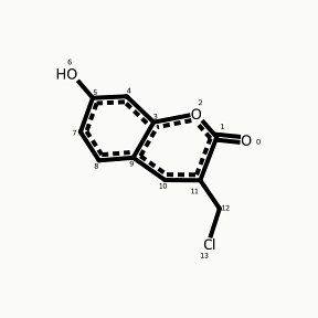 O=c1oc2cc(O)ccc2cc1CCl